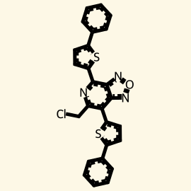 ClCc1nc(-c2ccc(-c3ccccc3)s2)c2nonc2c1-c1ccc(-c2ccccc2)s1